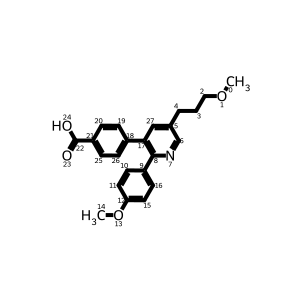 COCCCc1cnc(-c2ccc(OC)cc2)c(-c2ccc(C(=O)O)cc2)c1